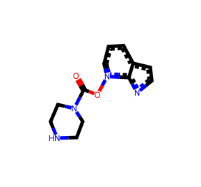 O=C(On1cccc2ccnc1-2)N1CCNCC1